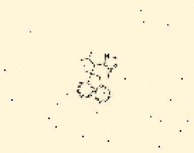 CC(C)C(c1nccn1C)C(C)(Cc1ccccc1)c1ccccc1